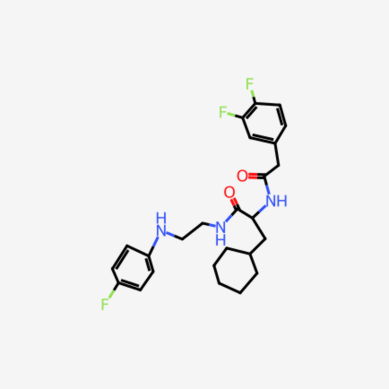 O=C(Cc1ccc(F)c(F)c1)NC(CC1CCCCC1)C(=O)NCCNc1ccc(F)cc1